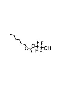 CCCCCCOC(C)OC(F)(F)C(O)(F)F